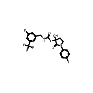 O=C(NCc1cc(F)cc(C(F)(F)F)c1)OC1(O)CCN(c2ccc(F)cc2)C1=O